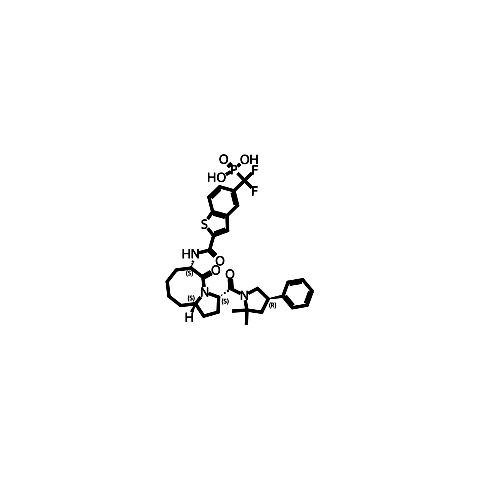 CC1(C)C[C@H](c2ccccc2)CN1C(=O)[C@@H]1CC[C@@H]2CCCC[C@H](NC(=O)c3cc4cc(C(F)(F)P(=O)(O)O)ccc4s3)C(=O)N21